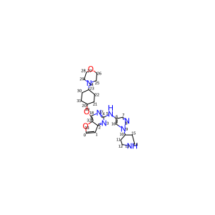 c1cc2nc(Nc3cnn(C4CCNCC4)c3)nc(OC3CCC(N4CCOCC4)CC3)c2o1